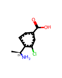 C[C@H](N)c1ccc(C(=O)O)cc1Cl